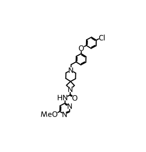 COc1cc(NC(=O)N2CC3(CCN(Cc4cccc(Oc5ccc(Cl)cc5)c4)CC3)C2)ncn1